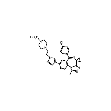 Cc1nnc2n1-c1ccc(-c3cnn(CCN4CCN(C(=O)O)CC4)c3)cc1C(c1ccc(Cl)cc1)=NC21CC1